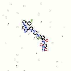 CN(Cc1ccc2c(c1F)CN(C1CCC(=O)NC1=O)C2=O)C1CCN(c2cccc(-c3cnc4ccc(N5CCC[C@@H]5c5cccc(F)c5)nn34)n2)CC1